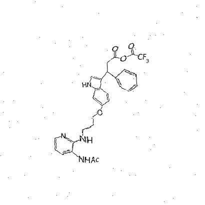 CC(=O)Nc1cccnc1NCCCOc1ccc2c(C(CC(=O)OC(=O)C(F)(F)F)c3ccccc3)c[nH]c2c1